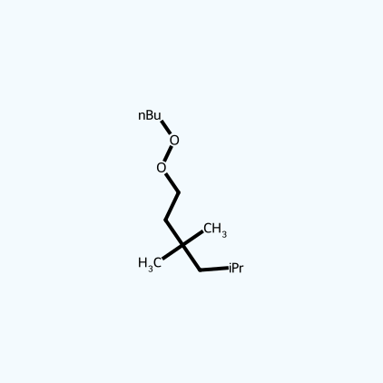 CCCCOOCCC(C)(C)CC(C)C